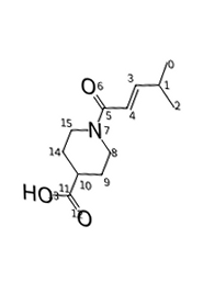 CC(C)/C=C/C(=O)N1CCC(C(=O)O)CC1